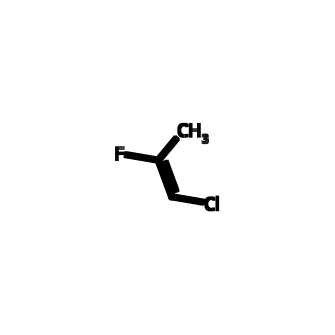 C/C(F)=C\Cl